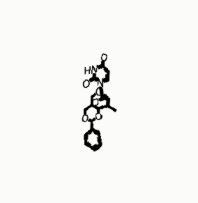 CC1C2OCC3(COC(c4ccccc4)OC13)OC2n1ccc(=O)[nH]c1=O